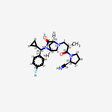 C[C@@H](CN1C[C@@H]2C[C@H]1C(=O)N2[C@@H](c1ccc(F)cc1)C1CC1)C(=O)N1CCC[C@H]1C#N